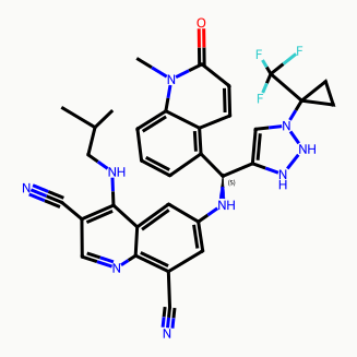 CC(C)CNc1c(C#N)cnc2c(C#N)cc(N[C@H](C3=CN(C4(C(F)(F)F)CC4)NN3)c3cccc4c3ccc(=O)n4C)cc12